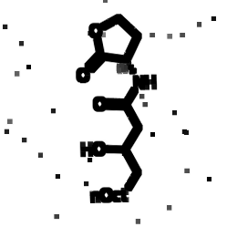 CCCCCCCCCC(O)CC(=O)N[C@H]1CCOC1=O